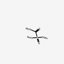 COP(=O)(OC)C(=S)SC